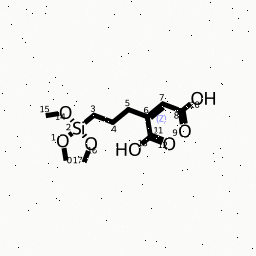 CO[Si](CCC/C(=C/C(=O)O)C(=O)O)(OC)OC